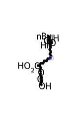 CCCCNC(=O)C(=O)NCCCC/C=C\CCCCCC(CCOCCOCCO)C(=O)O